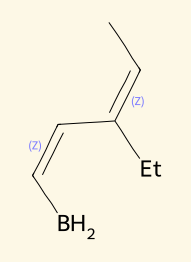 B/C=C\C(=C/C)CC